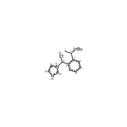 CCCC[C@H](C)c1ccccc1C(CC)n1ccnc1